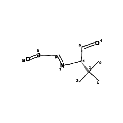 CC(C)(C)[C@@H](C=O)/N=C/B=O